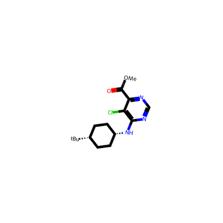 COC(=O)c1ncnc(N[C@H]2CC[C@@H](C(C)(C)C)CC2)c1Cl